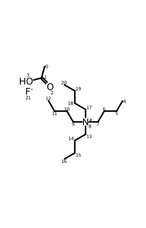 CC(=O)O.CCCC[N+](CCCC)(CCCC)CCCC.[F-]